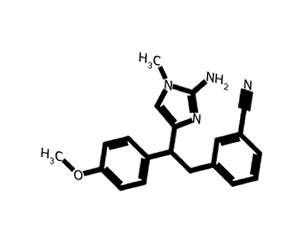 COc1ccc(C(Cc2cccc(C#N)c2)c2cn(C)c(N)n2)cc1